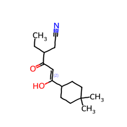 CCC(CC#N)C(=O)/C=C(\O)C1CCC(C)(C)CC1